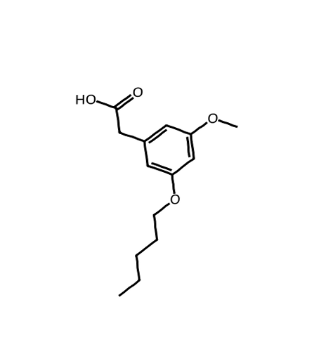 CCCCCOc1cc(CC(=O)O)cc(OC)c1